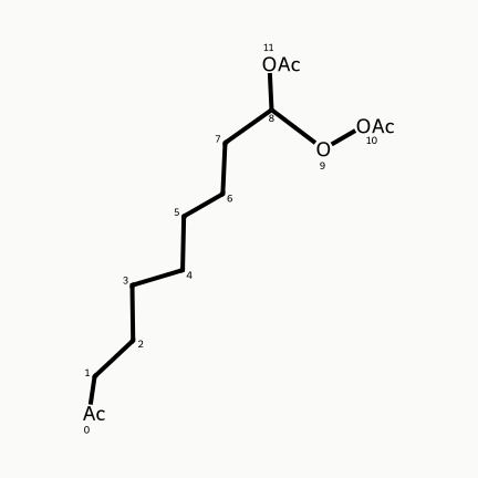 CC(=O)CCCCCCCC(OOC(C)=O)OC(C)=O